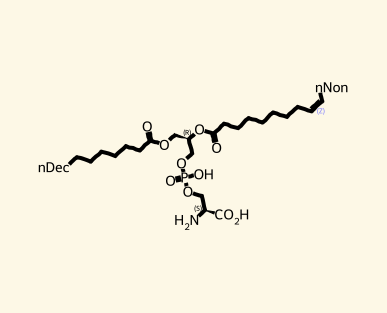 CCCCCCCCC/C=C\CCCCCCCC(=O)O[C@H](COC(=O)CCCCCCCCCCCCCCCC)COP(=O)(O)OC[C@H](N)C(=O)O